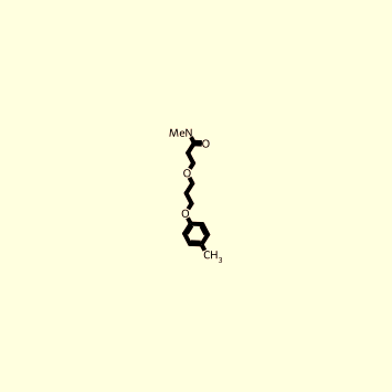 CNC(=O)CCOCCCOc1ccc(C)cc1